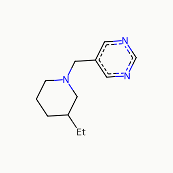 CCC1CCCN(Cc2cncnc2)C1